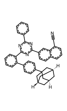 N#Cc1cccc2ccc(-c3nc(-c4ccccc4)nc(-c4ccccc4-c4ccc(C56C[C@H]7C[C@H](C5)C[C@@H](C6)C7)cc4)n3)cc12